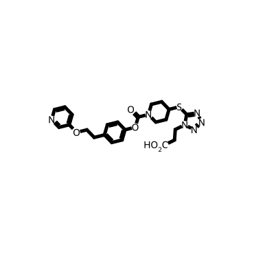 O=C(O)CCn1nnnc1SC1CCN(C(=O)Oc2ccc(CCOc3cccnc3)cc2)CC1